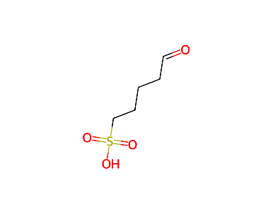 O=CCCCCS(=O)(=O)O